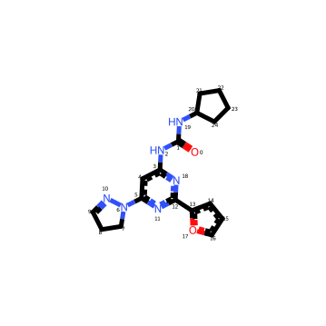 O=C(Nc1cc(N2CCC=N2)nc(-c2ccco2)n1)NC1CCCC1